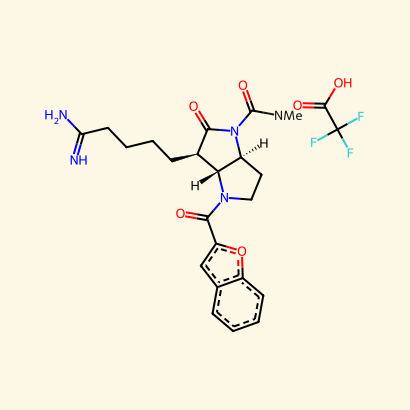 CNC(=O)N1C(=O)[C@H](CCCCC(=N)N)[C@@H]2[C@@H]1CCN2C(=O)c1cc2ccccc2o1.O=C(O)C(F)(F)F